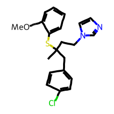 COc1ccccc1SC(C)(CCn1ccnc1)Cc1ccc(Cl)cc1